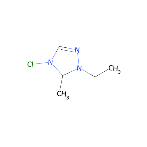 CCN1N=CN(Cl)C1C